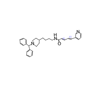 O=C(/C=C/C=C/c1cccnc1)NCCCCC1CCN(C(c2ccccc2)c2ccccc2)CC1